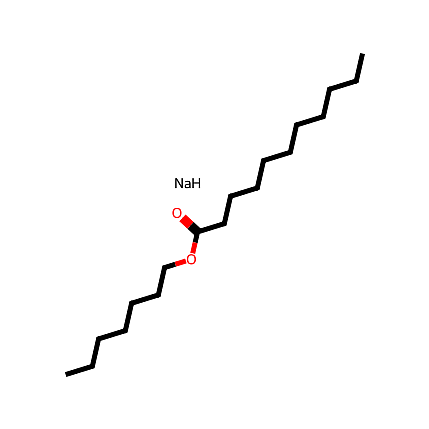 CCCCCCCCCCC(=O)OCCCCCCC.[NaH]